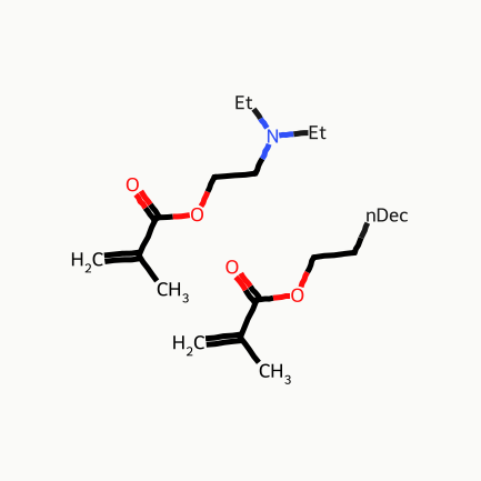 C=C(C)C(=O)OCCCCCCCCCCCC.C=C(C)C(=O)OCCN(CC)CC